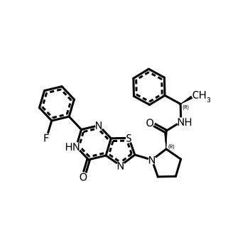 C[C@@H](NC(=O)[C@H]1CCCN1c1nc2c(=O)[nH]c(-c3ccccc3F)nc2s1)c1ccccc1